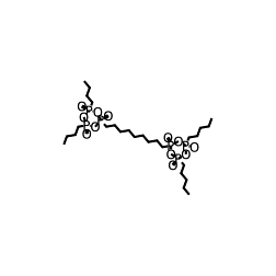 CCCCCP1(=O)OP(=O)(CCCCC)OP(=O)(CCCCCCCCCP2(=O)OP(=O)(CCCC)OP(=O)(CCCC)O2)O1